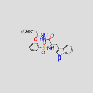 CCCCCCCCCCCC(=O)NNC(=O)C(Cc1c[nH]c2ccccc12)NS(=O)(=O)c1ccccc1